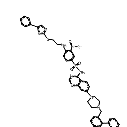 O=[N+]([O-])c1cc(S(=O)(=O)Nc2ncnc3cc(N4CCN(Cc5ccccc5-c5ccccc5)CC4)ccc23)ccc1NCCSc1nc(-c2ccccc2)cs1